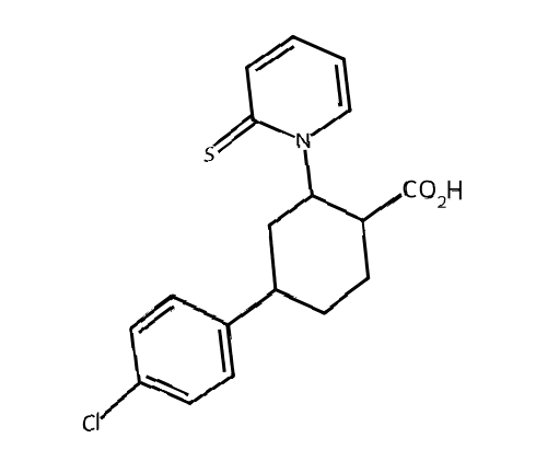 O=C(O)C1CCC(c2ccc(Cl)cc2)CC1n1ccccc1=S